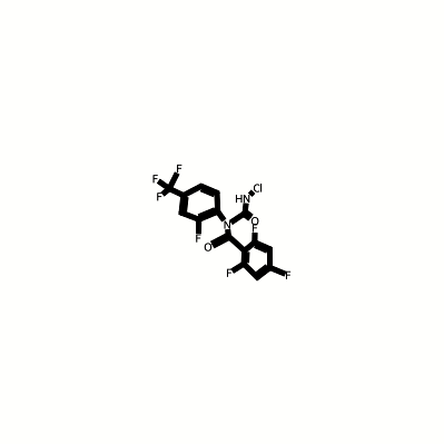 O=C(NCl)N(C(=O)c1c(F)cc(F)cc1F)c1ccc(C(F)(F)F)cc1F